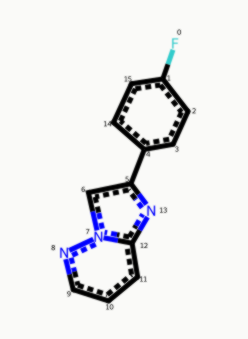 Fc1ccc(-c2cn3ncccc3n2)cc1